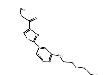 CC(C)(C)OC(=O)c1csc(-c2ccnc(NCCOCCN)c2)n1